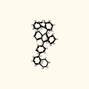 C1=CCC2C(=C1)C(c1ccc(-c3cccc4c3CCCC4)cc1)=c1ccccc1=C2c1cccc2oc3ccccc3c12